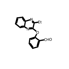 CCc1nc2ccccc2nc1Oc1ccccc1C=O